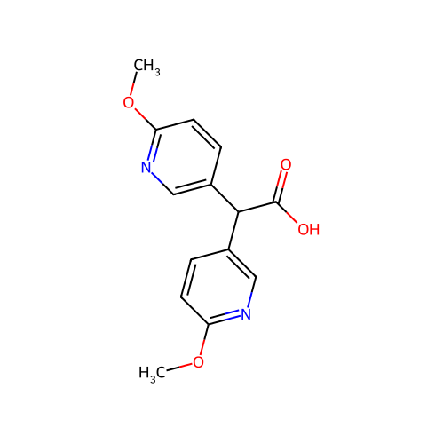 COc1ccc(C(C(=O)O)c2ccc(OC)nc2)cn1